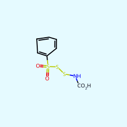 O=C(O)NSSS(=O)(=O)c1ccccc1